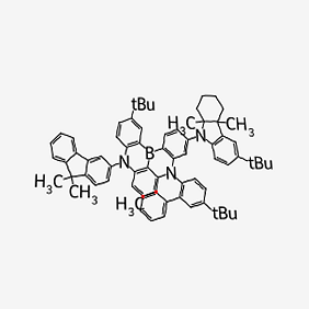 Cc1cc2c3c(c1)N(c1ccc(C(C)(C)C)cc1-c1ccccc1)c1cc(N4c5ccc(C(C)(C)C)cc5C5(C)CCCCC45C)ccc1B3c1cc(C(C)(C)C)ccc1N2c1ccc2c(c1)-c1ccccc1C2(C)C